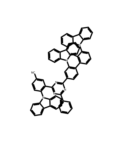 N#Cc1ccc(-n2c3ccccc3c3ccccc32)c(-c2nc(-c3ccccc3)nc(-c3ccc(-c4cccc(-n5c6ccccc6c6ccccc65)c4C#N)c(-n4c5ccccc5c5ccccc54)c3)n2)c1